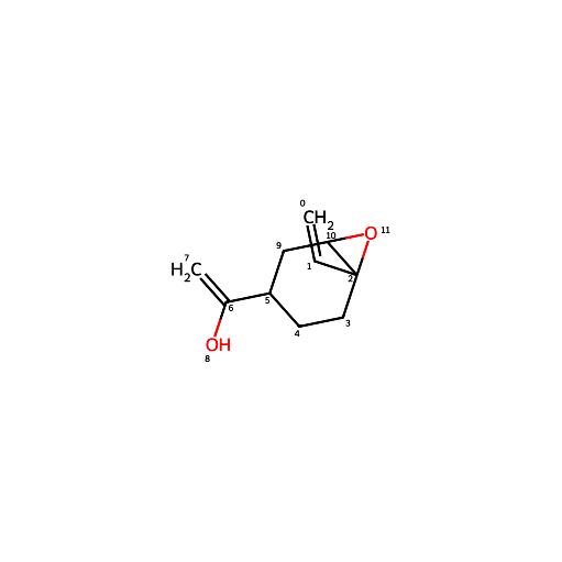 C=CC12CCC(C(=C)O)CC1O2